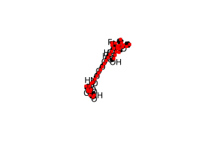 CC(C)c1c(C(=O)Nc2ccccc2)c(-c2ccccc2)c(-c2ccc(F)cc2OCCOCCOCCOCCOCCOCCOCCNC(=O)COc2cccc3c2C(=O)N(C2CCC(=O)NC2=O)C3=O)n1CC[C@@H](O)C[C@@H](O)CC(=O)O